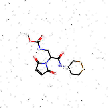 CC(C)(C)OC(=O)NCC(C(=O)N[C@H]1CCSSC1)N1C(=O)C=CC1=O